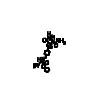 CC(C)C[C@@H](NCc1ccc(-c2cc(C(N)=O)c(NC(N)=O)s2)cc1)C(=O)OC1CCCC1